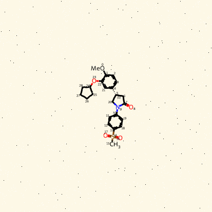 COc1ccc([C@@H]2CC(=O)N(c3ccc(S(C)(=O)=O)cc3)C2)cc1OC1CCCC1